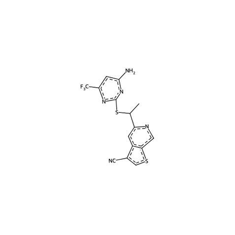 CC(Sc1nc(N)cc(C(F)(F)F)n1)c1cc2c(C#N)csc2cn1